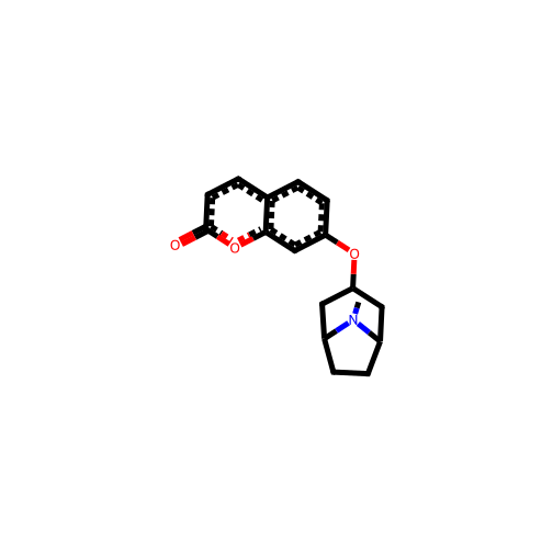 CN1C2CCC1CC(Oc1ccc3ccc(=O)oc3c1)C2